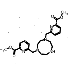 COC(=O)c1cccc(CN2CCNCCN(Cc3cccc(C(=O)OC)n3)CC2)n1